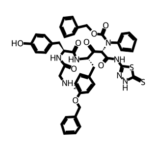 NCC(=O)N[C@@H](Cc1ccc(O)cc1)C(=O)N[C@@H](Cc1ccc(OCc2ccccc2)cc1)C(=O)[C@@H](C(=O)Nc1n[nH]c(=S)s1)N(C(=O)OCc1ccccc1)c1ccccc1